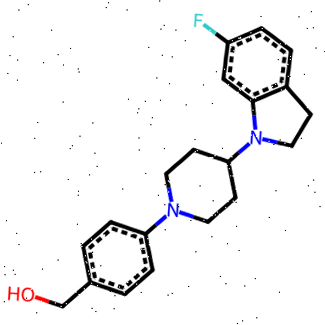 OCc1ccc(N2CCC(N3CCc4ccc(F)cc43)CC2)cc1